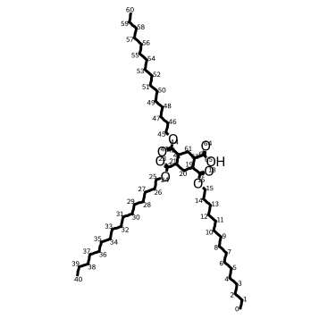 CCCCCCCCCCCCCCCCOC(=O)C1CC(C(=O)OCCCCCCCCCCCCCCCC)C(C(=O)OCCCCCCCCCCCCCCCC)CC1C(=O)O